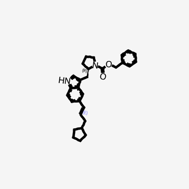 O=C(OCc1ccccc1)N1CCC[C@@H]1Cc1c[nH]c2ccc(/C=C/CC3CCCC3)cc12